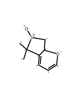 CC1(C)C2=CC=COC2C[S+]1[O-]